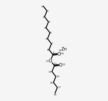 CCCCCCCCCC(=O)OC(=O)CCCCC.[Zn]